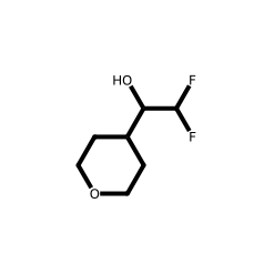 OC(C(F)F)C1CCOCC1